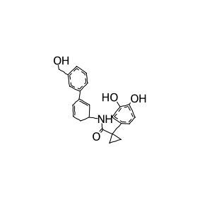 O=C(NC1C=C(c2cccc(CO)c2)C=CC1)C1(c2ccc(O)c(O)c2)CC1